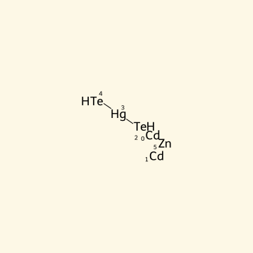 [Cd].[Cd].[TeH][Hg][TeH].[Zn]